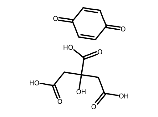 O=C(O)CC(O)(CC(=O)O)C(=O)O.O=C1C=CC(=O)C=C1